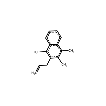 C=CCc1c(C)c(C)c2ccccc2c1C